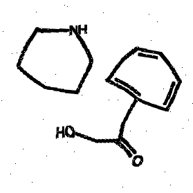 C1CCNCC1.O=C(O)c1ccccc1